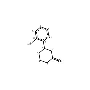 O=C1CCCC(c2ncccc2F)C1